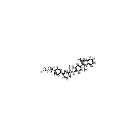 COCOC(C)(C)c1ccc(-c2ccnc(NCc3ccc(C(=O)Nc4ccccc4N)cc3)n2)cn1